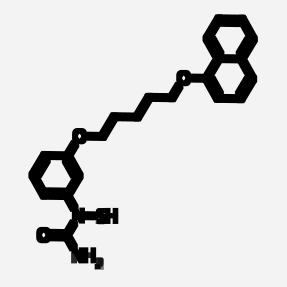 NC(=O)N(S)c1cccc(OCCCCCOc2cccc3ccccc23)c1